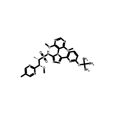 BC(B)(B)Oc1cccc(-c2nnc(NS(=O)(=O)[C@@H](C)[C@H](OC)c3ncc(C)cn3)n2-c2c(OC)ncnc2OC)n1